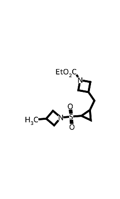 CCOC(=O)N1CC(CC2CC2S(=O)(=O)N2CC(C)C2)C1